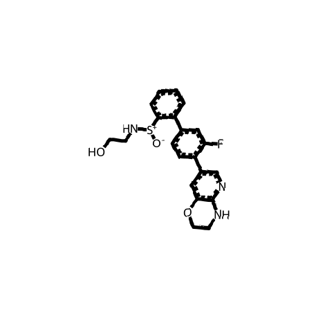 [O-][S+](NCCO)c1ccccc1-c1ccc(-c2cnc3c(c2)OCCN3)c(F)c1